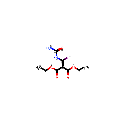 CCOC(=O)C(C(=O)OCC)=C(I)NC(N)=O